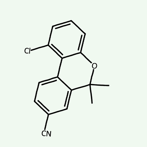 CC1(C)Oc2cccc(Cl)c2-c2ccc(C#N)cc21